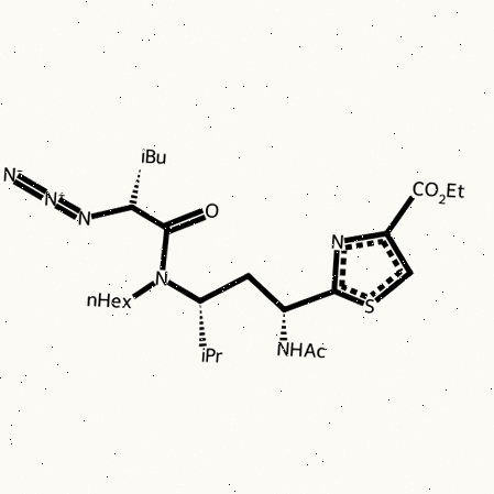 CCCCCCN(C(=O)C(N=[N+]=[N-])[C@@H](C)CC)[C@H](C[C@@H](NC(C)=O)c1nc(C(=O)OCC)cs1)C(C)C